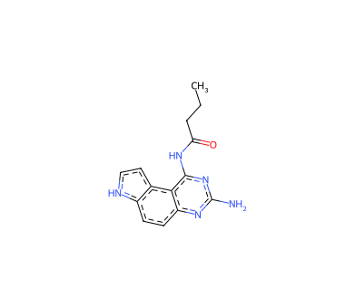 CCCC(=O)Nc1nc(N)nc2ccc3[nH]ccc3c12